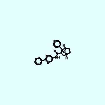 O=C(Nc1cnc(-c2ccccc2)nc1)C1=C(c2ccncc2)[C@@H]2CC[C@H](C1)O2